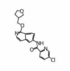 O=C(Nc1ccc2c(OCC3CCOC3)nccc2c1)c1ccc(Cl)cn1